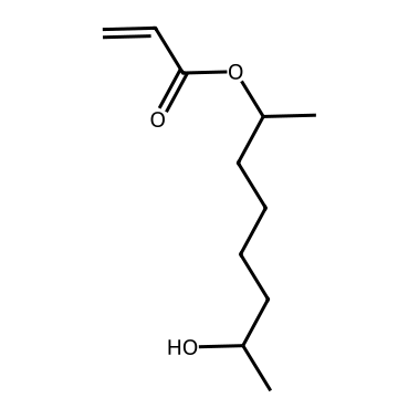 C=CC(=O)OC(C)CCCCC(C)O